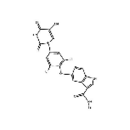 CC(C)NC(=O)c1c[nH]c2ccc(Oc3c(Cl)cc(-n4nc(C#N)c(=O)[nH]c4=O)cc3Cl)cc12